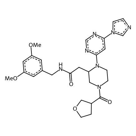 COc1cc(CNC(=O)CC2CN(C(=O)C3CCOC3)CCN2c2cc(-n3ccnc3)ncn2)cc(OC)c1